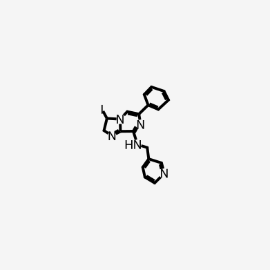 IC1CN=C2C(NCc3cccnc3)=NC(c3ccccc3)=CN21